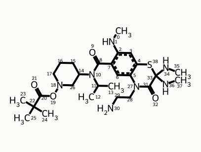 CNc1cc2c(cc1C(=O)N(C(C)C)C1CCCN(OC(=O)C(C)(C)C)C1)N(CCN)C(=O)C(NC)(NC)S2